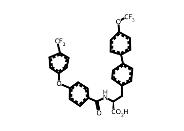 O=C(N[C@@H](Cc1ccc(-c2ccc(OC(F)(F)F)cc2)cc1)C(=O)O)c1ccc(Oc2ccc(C(F)(F)F)cc2)cc1